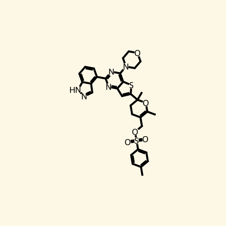 CC1=C(COS(=O)(=O)c2ccc(C)cc2)CCC(C)(c2cc3nc(-c4cccc5[nH]ncc45)nc(N4CCOCC4)c3s2)O1